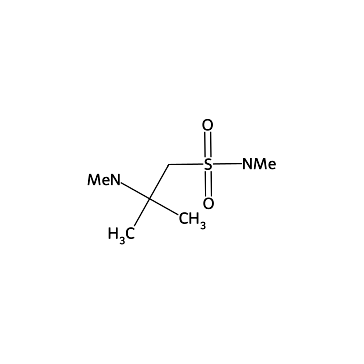 CNC(C)(C)CS(=O)(=O)NC